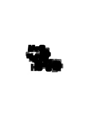 C=CCN1CC[C@@]2(c3cccc(OC)c3)C[C@@H](NC(=O)c3ccccc3)CC(O)[C@@H]2C1